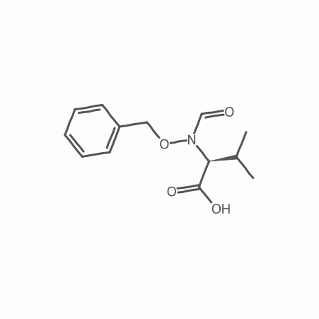 CC(C)[C@@H](C(=O)O)N(C=O)OCc1ccccc1